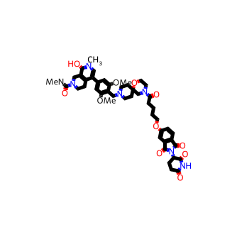 CNC(=O)N1CCC2=C(C1)C(O)N(C)C=C2c1cc(OC)c(CN2CCC3(CC2)CN(C(=O)CCCCOc2ccc4c(c2)C(=O)N(C2CCC(=O)NC2=O)C4=O)CCO3)c(OC)c1